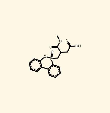 COC(=O)C(CC(=O)O)CP1(=O)Oc2ccccc2-c2ccccc21